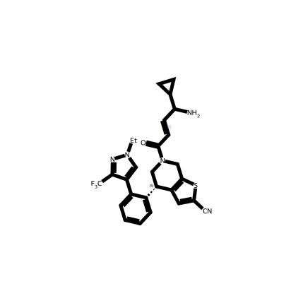 CCn1cc(-c2ccccc2[C@@H]2CN(C(=O)/C=C/C(N)C3CC3)Cc3sc(C#N)cc32)c(C(F)(F)F)n1